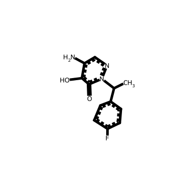 CC(c1ccc(F)cc1)n1ncc(N)c(O)c1=O